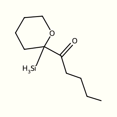 CCCCC(=O)C1([SiH3])CCCCO1